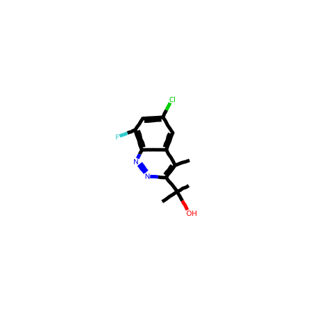 Cc1c(C(C)(C)O)nnc2c(F)cc(Cl)cc12